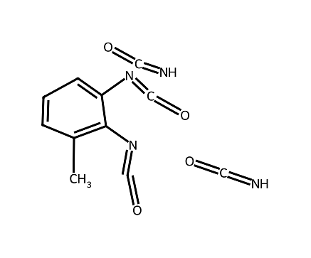 Cc1cccc(N=C=O)c1N=C=O.N=C=O.N=C=O